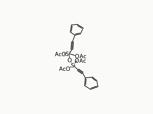 CC(=O)O[Si](C#Cc1ccccc1)(OC(C)=O)O[Si](C#Cc1ccccc1)(OC(C)=O)OC(C)=O